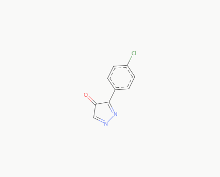 O=C1C=NN=C1c1ccc(Cl)cc1